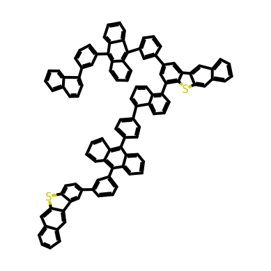 c1cc(-c2ccc3sc4cc5ccccc5cc4c3c2)cc(-c2c3ccccc3c(-c3ccc(-c4cccc5c(-c6cc(-c7cccc(-c8c9ccccc9c(-c9cccc(-c%10cccc%11ccccc%10%11)c9)c9ccccc89)c7)cc7c6sc6cc8ccccc8cc67)cccc45)cc3)c3ccccc23)c1